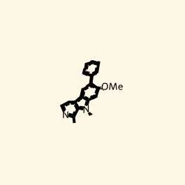 COc1cc2c(cc1-c1ccccc1)c1ccnc(C)c1n2C